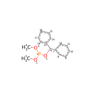 COP(OC)OC(c1ccccc1)c1ccccc1